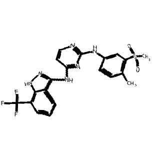 Cc1ccc(Nc2nccc(Nc3n[nH]c4c(C(F)(F)F)cccc34)n2)cc1S(C)(=O)=O